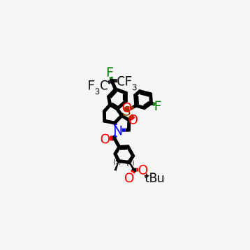 C[C@H]1CC(C(=O)N2CCC3(S(=O)(=O)c4cccc(F)c4)c4ccc(C(F)(C(F)(F)F)C(F)(F)F)cc4CCC23)=CC[C@H]1C(=O)OC(C)(C)C